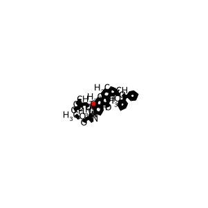 CCOC(=O)c1cnn([C@H]2CC[C@@]3(C)[C@@H](CC[C@]4(C)[C@@H]3C(=O)C=C3[C@@H]5C[C@@](C)(C(=O)OC(c6ccccc6)c6ccccc6)CC[C@]5(C)CC[C@]34C)[C@]2(C)C(=O)OCc2oc(=O)oc2C)c1